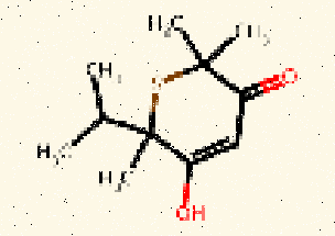 CC(C)C1(C)SC(C)(C)C(=O)C=C1O